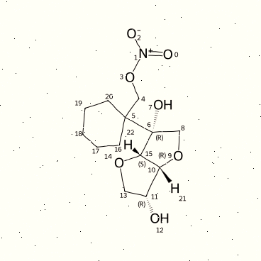 O=[N+]([O-])OCC1([C@@]2(O)CO[C@@H]3[C@H](O)CO[C@@H]32)CCCCC1